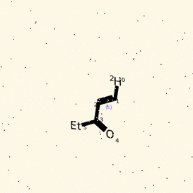 [2H]/C=C/C(=O)CC